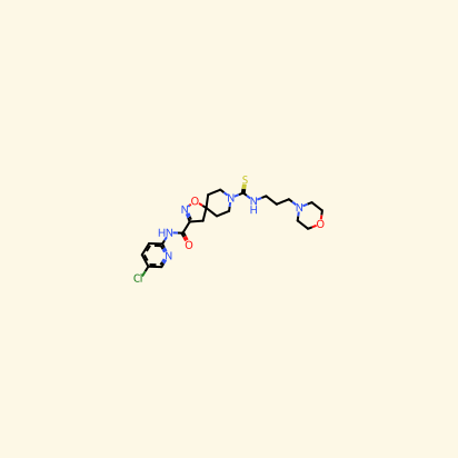 O=C(Nc1ccc(Cl)cn1)C1=NOC2(CCN(C(=S)NCCCN3CCOCC3)CC2)C1